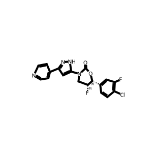 O=C1O[C@H](c2ccc(Cl)c(F)c2)[C@H](F)CN1c1cc(-c2ccncc2)n[nH]1